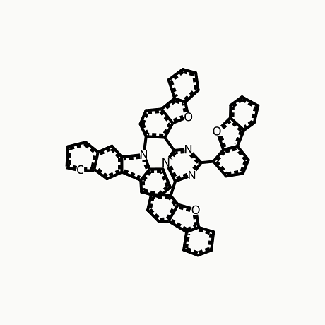 c1ccc2cc3c(cc2c1)c1ccccc1n3-c1ccc2c(oc3ccccc32)c1-c1nc(-c2cccc3c2oc2ccccc23)nc(-c2cccc3c2oc2ccccc23)n1